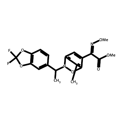 CON=C(C(=O)OC)c1cc2cc(C)c1ON2C(C)c1ccc2c(c1)OC(F)(F)O2